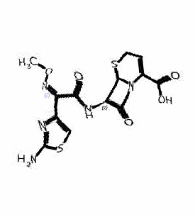 CO/N=C(\C(=O)N[C@@H]1C(=O)N2C(C(=O)O)=CCSC12)c1csc(N)n1